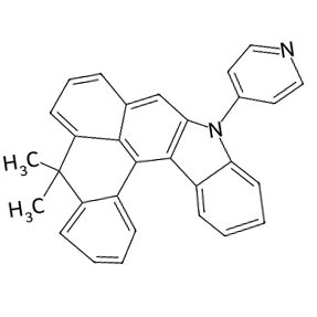 CC1(C)c2ccccc2-c2c3c1cccc3cc1c2c2ccccc2n1-c1ccncc1